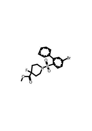 COC(=O)C1(F)CCN(S(=O)(=O)c2ccc(Br)cc2-c2ccccc2)CC1